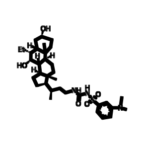 CC[C@H]1[C@@H](O)[C@@H]2[C@H](CC[C@]3(C)[C@@H]([C@H](C)CCNC(=O)NS(=O)(=O)c4cccc(N(C)C)c4)CC[C@@H]23)C2(C)CC[C@@H](O)C[C@@H]12